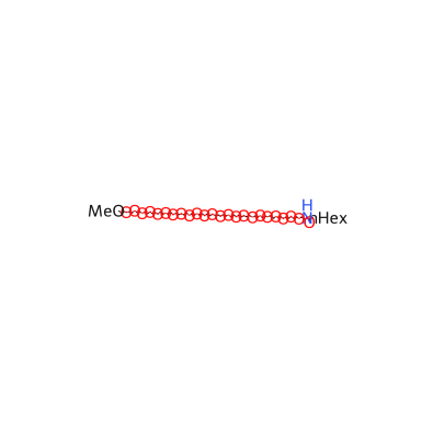 CCCCCCC(=O)NCCOCCOCCOCCOCCOCCOCCOCCOCCOCCOCCOCCOCCOCCOCCOCCOCCOCCOCCOCCOCCOCCOCCOCCOC